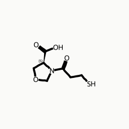 O=C(O)[C@@H]1COCN1C(=O)CCS